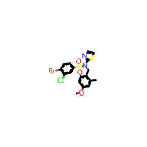 COc1ccc(CN(c2nccs2)S(=O)(=O)c2ccc(Br)c(Cl)c2)c(C)c1